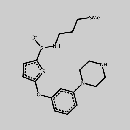 CSCCCN[S+]([O-])c1ccc(Oc2cccc(N3CCNCC3)c2)s1